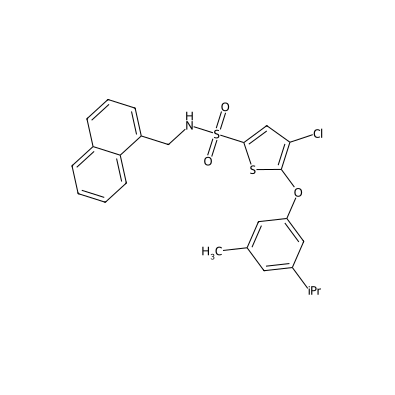 Cc1cc(Oc2sc(S(=O)(=O)NCc3cccc4ccccc34)cc2Cl)cc(C(C)C)c1